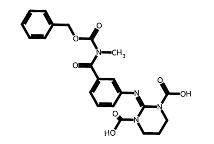 CN(C(=O)OCc1ccccc1)C(=O)c1cccc(N=C2N(C(=O)O)CCCN2C(=O)O)c1